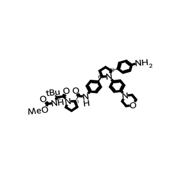 COC(=O)N[C@H](C(=O)N1CCC[C@H]1C(=O)Nc1ccc([C@H]2CC[C@H](c3ccc(N)cc3)N2c2ccc(N3CCOCC3)cc2)cc1)C(C)(C)C